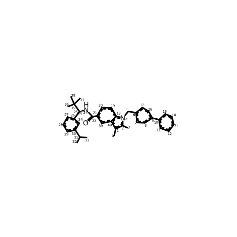 Cc1c(C)n(Cc2ccc(-c3ccccc3)cc2)c2ccc(C(=O)N[C@@H](c3cccc(C(C)C)c3)C(C)(C)C)cc12